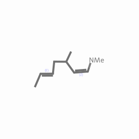 C/C=C/CC(C)/C=C\NC